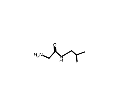 CC(F)CNC(=O)CN